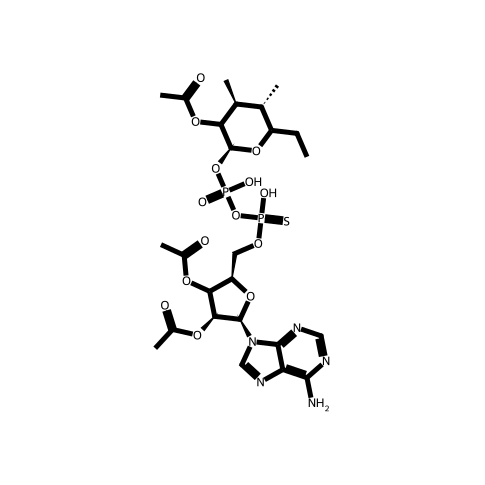 CCC1O[C@@H](OP(=O)(O)OP(O)(=S)OC[C@H]2O[C@@H](n3cnc4c(N)ncnc43)[C@@H](OC(C)=O)C2OC(C)=O)C(OC(C)=O)[C@@H](C)[C@@H]1C